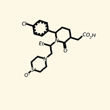 CCC(CN1CC[S+]([O-])CC1)N1C(=O)C(CC(=O)O)CCC1c1ccc(Cl)cc1